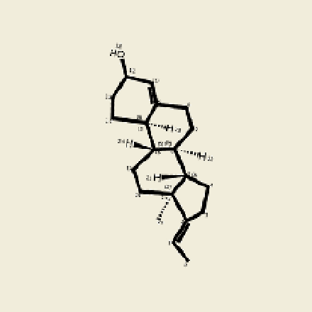 CC=C1CC[C@H]2[C@@H]3CCC4=CC(O)CC[C@@H]4[C@H]3CC[C@]12C